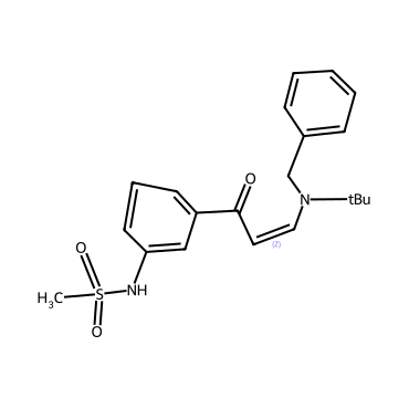 CC(C)(C)N(/C=C\C(=O)c1cccc(NS(C)(=O)=O)c1)Cc1ccccc1